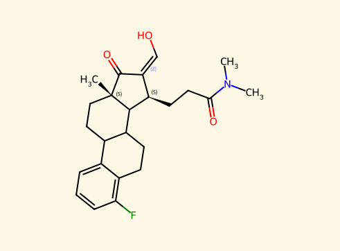 CN(C)C(=O)CC[C@@H]1/C(=C/O)C(=O)[C@@]2(C)CCC3c4cccc(F)c4CCC3C12